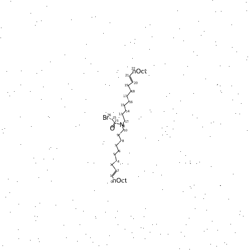 CCCCCCCCC=CCCCCCCCCN(CCCCCCCCC=CCCCCCCCC)C(=O)CBr